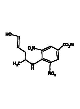 CCOC(=O)c1cc([N+](=O)[O-])c(NC(C)C/C=C/O)c([N+](=O)[O-])c1